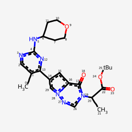 Cc1cnc(NC2CCOCC2)nc1-c1cc2c(=O)n(C(C)C(=O)OC(C)(C)C)cnn2c1